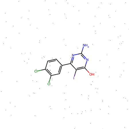 Nc1nc(O)c(I)c(-c2ccc(Cl)c(Cl)c2)n1